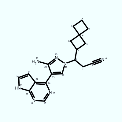 N#CCC(C1CC2(CCC2)C1)n1cc(-c2ncnc3[nH]ccc23)c(N)n1